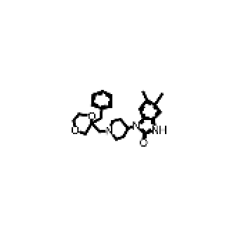 Cc1cc2[nH]c(=O)n(C3CCN(CC4(Cc5ccccc5)COCCO4)CC3)c2cc1C